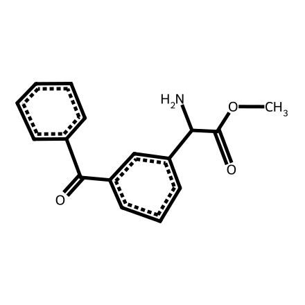 COC(=O)C(N)c1cccc(C(=O)c2ccccc2)c1